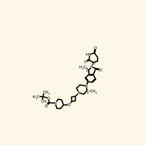 C[C@@H]1CN(C2CC(OC3CCN(C(=O)OC(C)(C)C)CC3)C2)CCN1c1ccc2c(c1)[C@@H](C)N([C@@H]1CCC(=O)NC1=O)C2=O